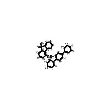 CC1(C)c2ccccc2-c2c(Nc3ccccc3-c3ccc(-c4ccccc4)cc3)cccc21